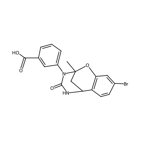 CC12CC(NC(=O)N1c1cccc(C(=O)O)c1)c1ccc(Br)cc1O2